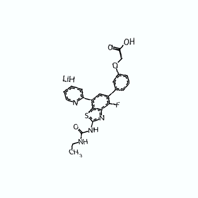 CCNC(=O)Nc1nc2c(F)c(-c3cccc(OCC(=O)O)c3)cc(-c3ccccn3)c2s1.[LiH]